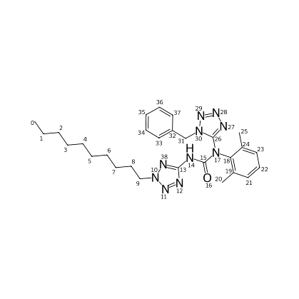 CCCCCCCCCCn1nnc(NC(=O)N(c2c(C)cccc2C)c2nnnn2Cc2ccccc2)n1